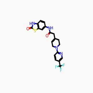 O=C(CC1=CCN(c2ccc(C(F)(F)F)cn2)CC1)Nc1ccc2[nH]c(=O)sc2c1